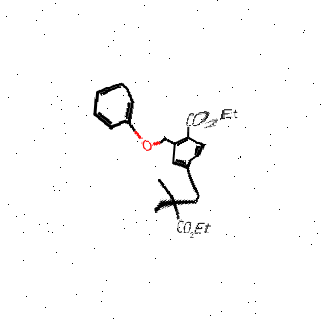 CCOC(=O)c1ccc(CC(C)(C)C(=O)OCC)cc1COc1ccccc1